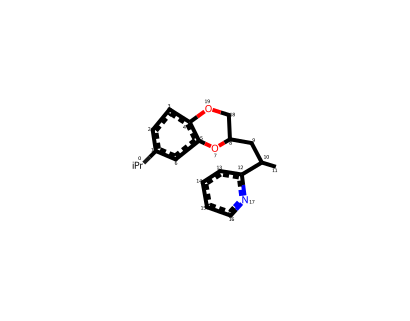 CC(C)c1ccc2c(c1)OC(CC(C)c1ccccn1)CO2